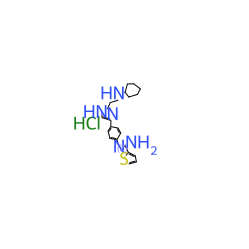 Cl.N/C(=N\c1ccc(-c2c[nH]c(CCNC3CCCCC3)n2)cc1)c1cccs1